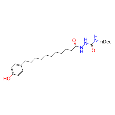 CCCCCCCCCCNC(=O)NNC(=O)CCCCCCCCCCc1ccc(O)cc1